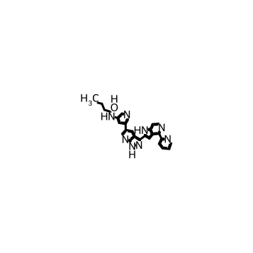 CCCCC(O)Nc1cncc(-c2cnc3[nH]nc(-c4cc5c(-c6ccccn6)nccc5[nH]4)c3c2)c1